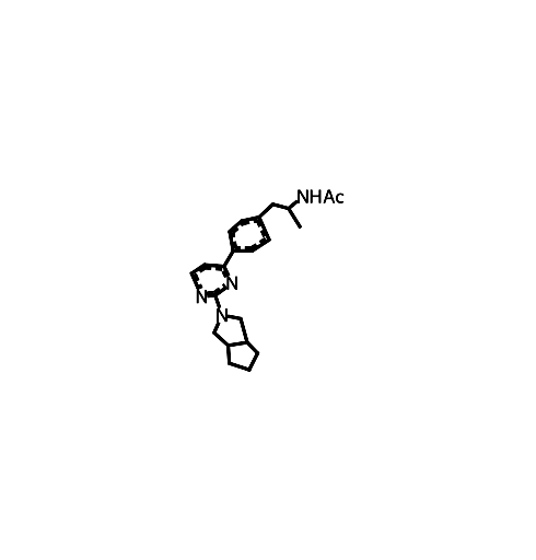 CC(=O)NC(C)Cc1ccc(-c2ccnc(N3CC4CCCC4C3)n2)cc1